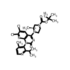 Cc1ccnc(C(C)C)c1-n1c(=O)nc(N2CCN(C(=O)OC(C)(C)C)C[C@@H]2C)c2cc(Cl)c(Cl)nc21